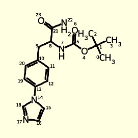 CC(C)(C)OC(=O)NC(Cc1ccc(-n2ccnc2)cc1)C(N)=O